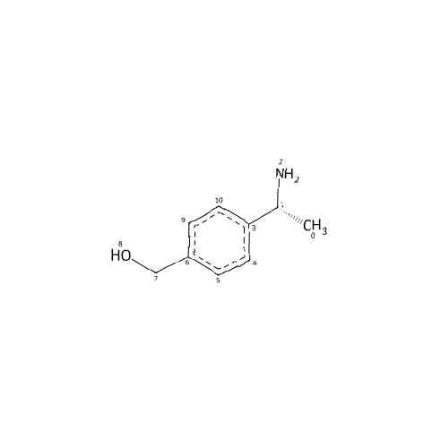 C[C@@H](N)c1ccc(CO)cc1